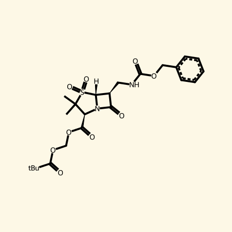 CC(C)(C)C(=O)OCOC(=O)[C@@H]1N2C(=O)[C@H](CNC(=O)OCc3ccccc3)[C@H]2S(=O)(=O)C1(C)C